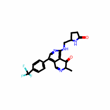 CC1N=Cc2c(-c3ccc(C(F)(F)F)cc3)cnc(NCC3CCC(=O)N3)c2C1=O